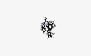 CCCC/[CH]=[Zr](/[C]1=CC=CC1)[c]1c(C)c(C(C)(C)C)cc2c1Cc1cc(C)c(C(C)(C)C)cc1-2